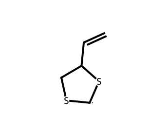 C=CC1CS[CH]S1